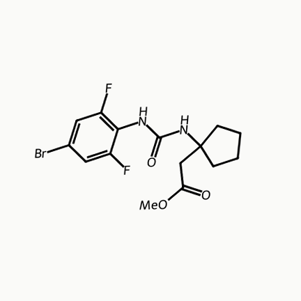 COC(=O)CC1(NC(=O)Nc2c(F)cc(Br)cc2F)CCCC1